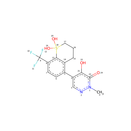 Cn1ncc(-c2ccc(C(F)(F)F)c3c2CCCS3(O)O)c(O)c1=O